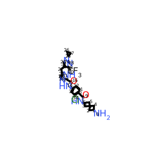 NC1CC2(C1)CC(NC(=O)c1ccc(NC(=O)c3ncc(Cc4cn(C5CC5)nc4C(F)(F)F)[nH]3)cc1Cl)C2